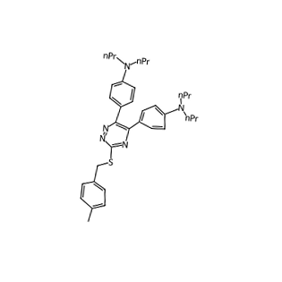 CCCN(CCC)c1ccc(-c2nnc(SCc3ccc(C)cc3)nc2-c2ccc(N(CCC)CCC)cc2)cc1